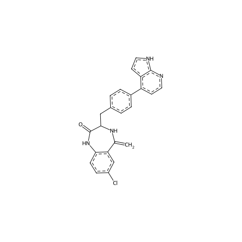 C=C1NC(Cc2ccc(-c3ccnc4[nH]ccc34)cc2)C(=O)Nc2ccc(Cl)cc21